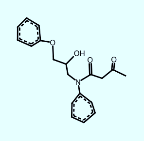 CC(=O)CC(=O)N(CC(O)COc1ccccc1)c1ccccc1